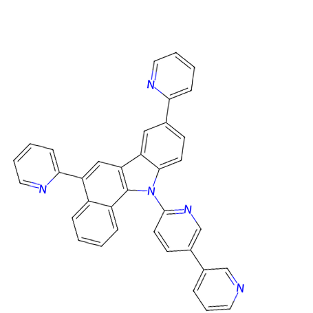 c1ccc(-c2ccc3c(c2)c2cc(-c4ccccn4)c4ccccc4c2n3-c2ccc(-c3cccnc3)cn2)nc1